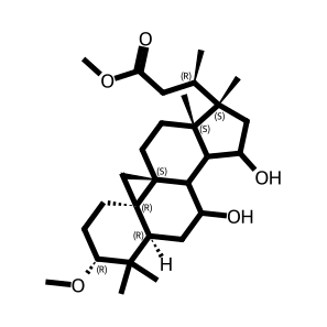 COC(=O)C[C@@H](C)[C@]1(C)CC(O)C2C3C(O)C[C@H]4C(C)(C)[C@H](OC)CC[C@@]45C[C@@]35CC[C@@]21C